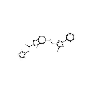 Cc1oc(-c2ccccc2)nc1COc1ccc2cc(C(C)Cn3cnnn3)oc2c1